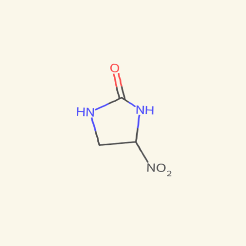 O=C1NCC([N+](=O)[O-])N1